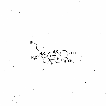 CC(C)CCC[C@@H](C)[C@H]1CC[C@H]2[C@@H]3CC[C@@H]4[C@H](C)[C@@H](O)CC[C@]4(C)[C@H]3CC[C@]12C